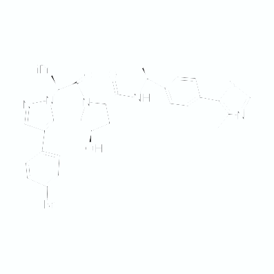 Cc1ncsc1-c1ccc([C@H](C)NC(=O)[C@@H]2C[C@@H](O)CN2C(=O)[C@H](C(C)C)n2cc(-c3ccc(Br)cc3)cn2)cc1